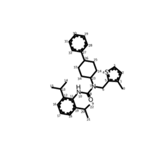 Cc1ccsc1CN(C(=O)Nc1c(C(C)C)cccc1C(C)C)C1CCC(c2ccccc2)CC1